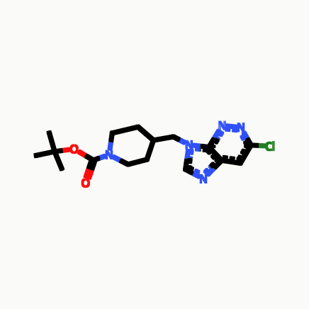 CC(C)(C)OC(=O)N1CCC(Cn2cnc3cc(Cl)nnc32)CC1